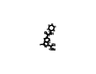 CCCCC(CC)n1nc(C)c2cc(C(=O)NC3CCCCC3)sc21